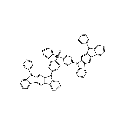 O=[SH](c1ccccc1)(c1ccc(-n2c3ccccc3c3cc4c5ccccc5n(-c5ccccc5)c4cc32)cc1)c1ccc(-n2c3ccccc3c3cc4c5ccccc5n(-c5ccccc5)c4cc32)cc1